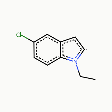 CCn1[c]cc2cc(Cl)ccc21